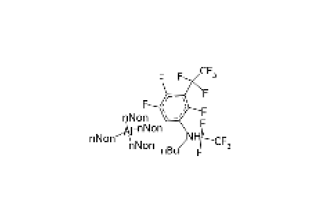 CCCCCCCC[CH2][Al-]([CH2]CCCCCCCC)([CH2]CCCCCCCC)[CH2]CCCCCCCC.CCCC[NH+](c1cc(F)c(F)c(C(F)(F)C(F)(F)F)c1F)C(F)(F)C(F)(F)F